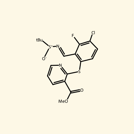 COC(=O)c1cccnc1Sc1ccc(Cl)c(F)c1C=N[S+]([O-])C(C)(C)C